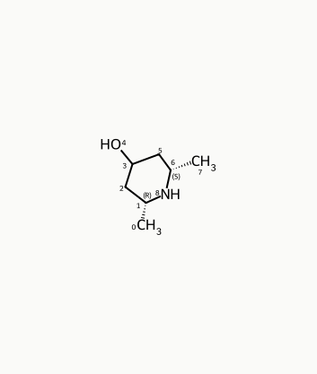 C[C@@H]1CC(O)C[C@H](C)N1